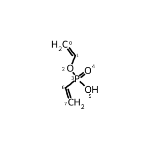 C=COP(=O)(O)C=C